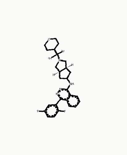 [2H]C([2H])(C1CCOCC1)N1C[C@H]2CC(Nc3nnc(-c4cc(F)ccc4F)c4ccccc34)C[C@H]2C1